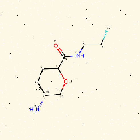 N[C@@H]1CCC(C(=O)NCCF)OC1